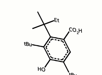 CCC(C)(C)c1c(C(=O)O)cc(C(C)(C)C)c(O)c1C(C)(C)C